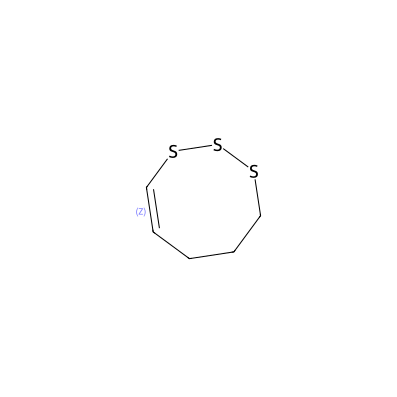 C1=C\SSSCCC/1